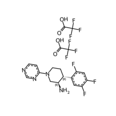 N[C@H]1CN(c2ccncn2)CC[C@@H]1c1cc(F)c(F)cc1F.O=C(O)C(F)(F)F.O=C(O)C(F)(F)F